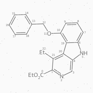 CCOC(=O)c1ncc2[nH]c3cccc(OCc4ccccc4)c3c2c1CC